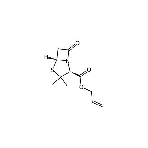 C=CCOC(=O)[C@@H]1N2C(=O)C[C@H]2SC1(C)C